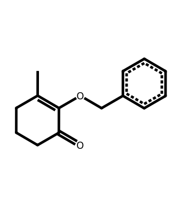 CC1=C(OCc2ccccc2)C(=O)CCC1